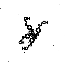 O=P(CP(=O)(Oc1ccc(SCCO)cc1)Oc1ccc(SCCO)cc1)(Oc1ccc(SCCO)cc1)Oc1ccc(SCCO)cc1